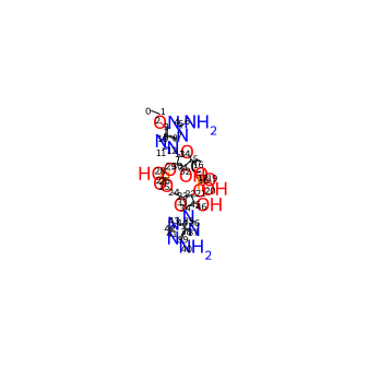 CCOc1nc(N)nc2c1ncn2C1OC2COP(=O)(O)OC3C(COP(=O)(O)OC1C2O)OC(n1cnc2c(N)ncnc21)C3O